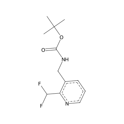 CC(C)(C)OC(=O)NCc1cccnc1C(F)F